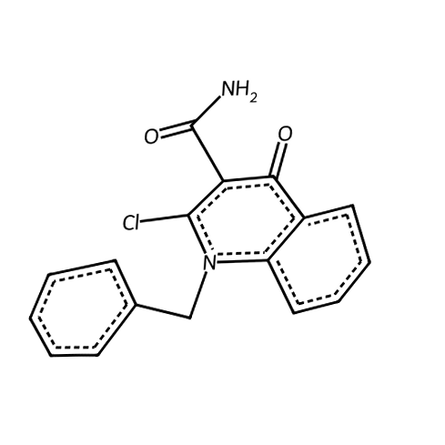 NC(=O)c1c(Cl)n(Cc2ccccc2)c2ccccc2c1=O